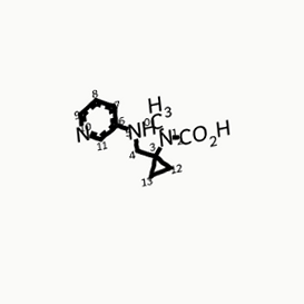 CN(C(=O)O)C1(CNc2cccnc2)CC1